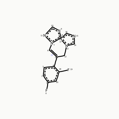 Fc1ccc(/C(=C/n2cncn2)Cn2cncn2)c(F)c1